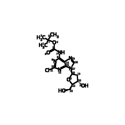 CC(C)(C)OC(=O)Nc1nc(Cl)nc2c1ncn2[C@H]1C[C@H](O)[C@@H](CO)O1